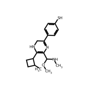 CNC(OC)C1=C(C2CCC2C)NCC(c2ccc(S)cc2)=N1